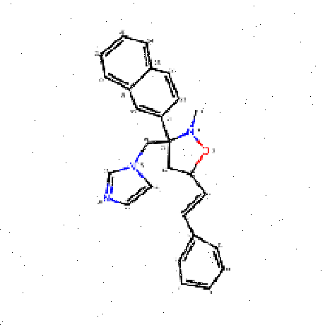 CN1OC(C=Cc2ccccc2)CC1(Cn1ccnc1)c1ccc2ccccc2c1